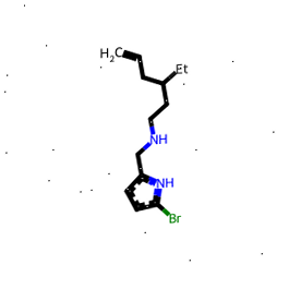 C=CCC(CC)CCNCc1ccc(Br)[nH]1